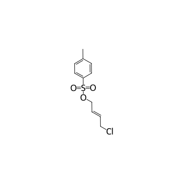 Cc1ccc(S(=O)(=O)OC/C=C/CCl)cc1